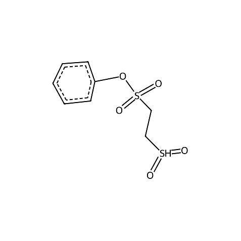 O=[SH](=O)CCS(=O)(=O)Oc1ccccc1